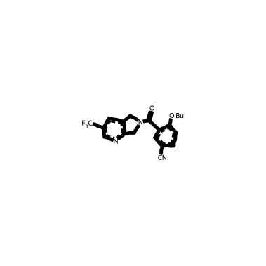 CC(C)COc1ccc(C#N)cc1C(=O)N1Cc2cc(C(F)(F)F)cnc2C1